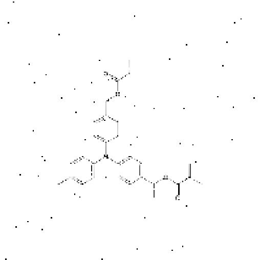 C=CC(=O)OCc1ccc(N(c2ccc(C)cc2)c2ccc(C(C)OC(=O)C(=C)C)cc2)cc1